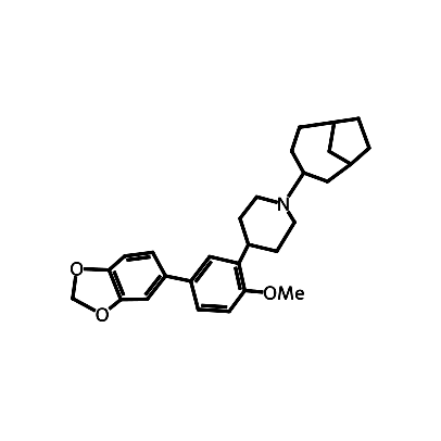 COc1ccc(-c2ccc3c(c2)OCO3)cc1C1CCN(C2CCC3CCC(C3)C2)CC1